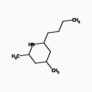 CCCCC1CC(C)CC(C)N1